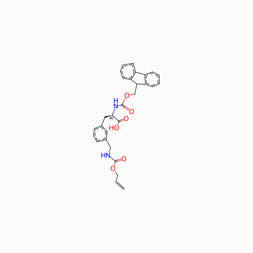 C=CCOC(=O)NCc1cccc(C[C@@H](NC(=O)OCC2c3ccccc3-c3ccccc32)C(=O)O)c1